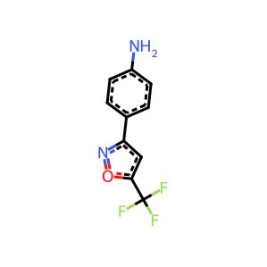 Nc1ccc(-c2cc(C(F)(F)F)on2)cc1